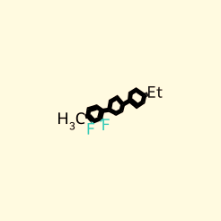 CCC1CC=C(C2CCC(c3ccc(C)c(F)c3F)CC2)CC1